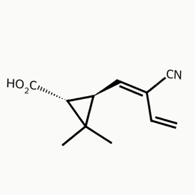 C=CC(C#N)=C[C@@H]1[C@@H](C(=O)O)C1(C)C